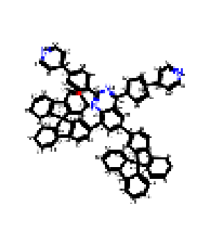 C1=CC2=C(CC1)c1ccc(-c3cc(-c4ccc5c(c4)C4(C6=C(C=CCC6)C6=C4CCC=C6)C4=C5C=CCC4)c4nc(-c5ccc(-c6ccncc6)cc5)nc(-c5ccc(-c6ccncc6)cc5)c4c3)cc1C21c2ccccc2-c2ccccc21